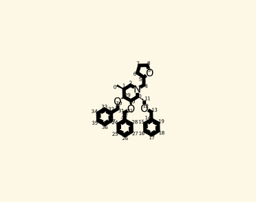 C[C@H]1CN(CC2CCCO2)[C@H](COCc2ccccc2)[C@@H](OCc2ccccc2)[C@@H]1OCc1ccccc1